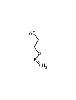 C=POCCC#N